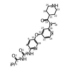 CC(C)C(=O)NC(=O)Nc1ccc(Oc2ccnc(N(C)C(=O)C3CCNCC3)c2)cn1